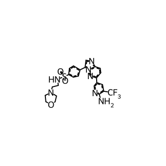 Nc1ncc(-c2ccc3ncc(-c4ccc(S(=O)(=O)NCCN5CCOCC5)cc4)n3n2)cc1C(F)(F)F